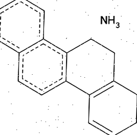 C1=CC2=C(CC1)CCc1c2ccc2ccccc12.N